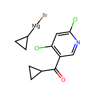 O=C(c1cnc(Cl)cc1Cl)C1CC1.[Br][Mg][CH]1CC1